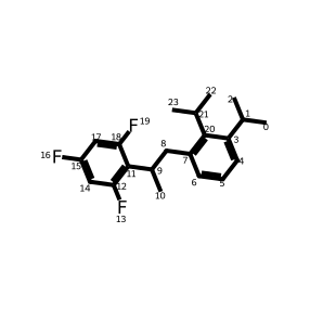 CC(C)c1cccc(CC(C)c2c(F)cc(F)cc2F)c1C(C)C